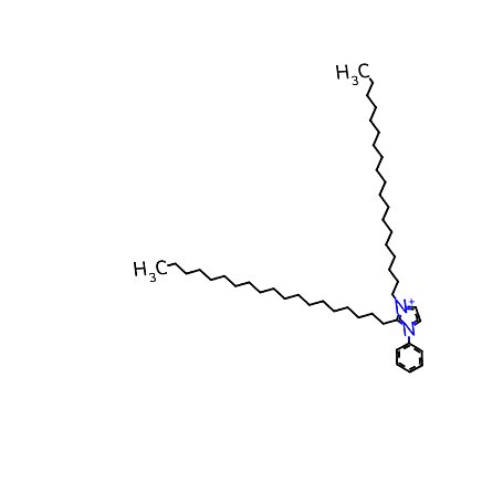 CCCCCCCCCCCCCCCCCCCc1n(-c2ccccc2)cc[n+]1CCCCCCCCCCCCCCCCCCC